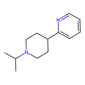 CC(C)N1CCC(c2ccccn2)CC1